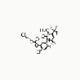 Cn1c(C(F)(F)F)cc(=O)n(-c2cc(OC(=O)OCCCl)c(Cl)cc2F)c1=O